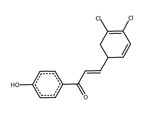 O=C(C=CC1C=CC(Cl)=C(Cl)C1)c1ccc(O)cc1